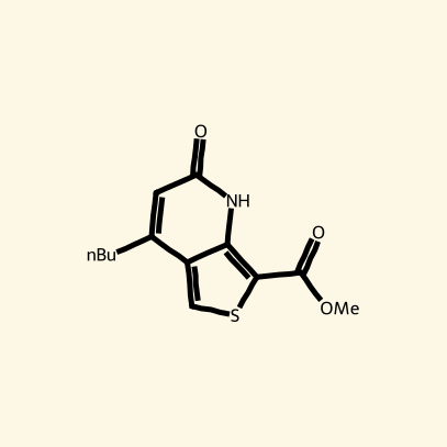 CCCCc1cc(=O)[nH]c2c(C(=O)OC)scc12